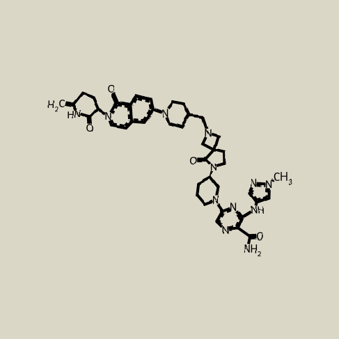 C=C1CCC(n2ccc3cc(N4CCC(CN5CC6(CCN([C@@H]7CCCN(c8cnc(C(N)=O)c(Nc9cnn(C)c9)n8)C7)C6=O)C5)CC4)ccc3c2=O)C(=O)N1